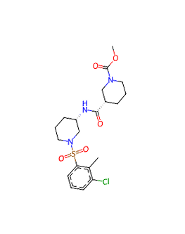 COC(=O)N1CCC[C@H](C(=O)N[C@H]2CCCN(S(=O)(=O)c3cccc(Cl)c3C)C2)C1